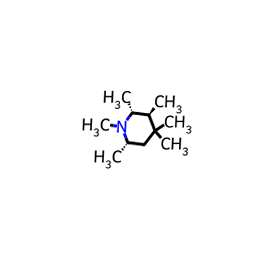 C[C@@H]1[C@@H](C)C(C)(C)C[C@H](C)N1C